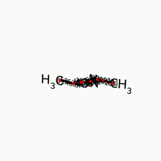 CCCCCCCCCc1ccc(COc2ccc(-c3ncc(CCCCCCCCC)cn3)cc2)cc1